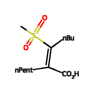 CCCCCC(C(=O)O)=C(CCCC)S(C)(=O)=O